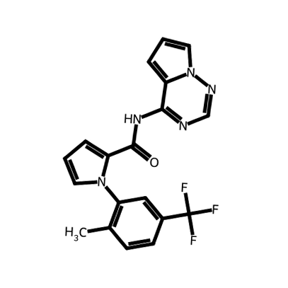 Cc1ccc(C(F)(F)F)cc1-n1cccc1C(=O)Nc1ncnn2cccc12